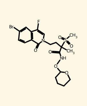 CC(CCn1cc(F)c2cc(Br)ccc2c1=O)(C(=O)NOC1CCCCO1)S(C)(=O)=O